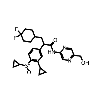 O=C(Nc1cnc(CO)cn1)C(CC1CCC(F)(F)CC1)c1ccc([S+]([O-])C2CC2)c(C2CC2)c1